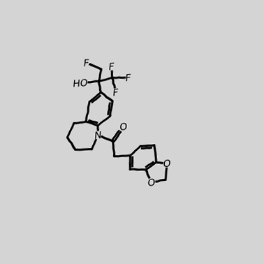 O=C(Cc1ccc2c(c1)OCO2)N1CCCCc2cc(C(O)(CF)C(F)(F)F)ccc21